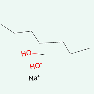 CCCCCCC.CO.[Na+].[OH-]